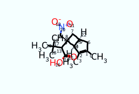 CC1=C(C)[C@@H]2[C@H](C1)C[C@@]2(C[N+](=O)[O-])C(C(=O)O)C(C)(C)C